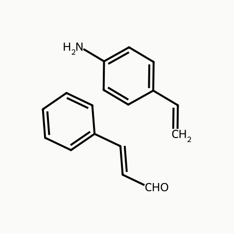 C=Cc1ccc(N)cc1.O=CC=Cc1ccccc1